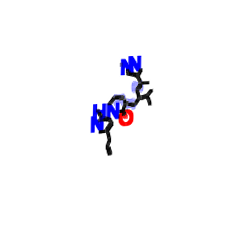 C=CCc1cnc(C)c(NC(=O)C(/C=C\C)=C/C(/C=C(\C)c2cnn(C)c2)=C(C)C)c1